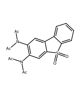 CC(=O)N(C(C)=O)c1cc2c(cc1N(C(C)=O)C(C)=O)S(=O)(=O)c1ccccc1-2